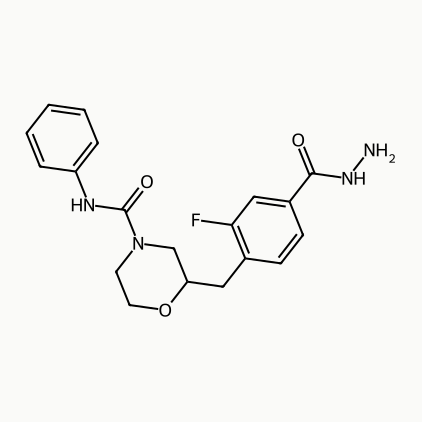 NNC(=O)c1ccc(CC2CN(C(=O)Nc3ccccc3)CCO2)c(F)c1